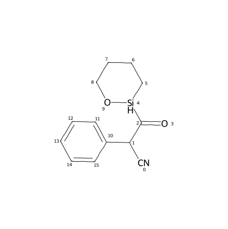 N#CC(C(=O)[SiH]1CCCCO1)c1ccccc1